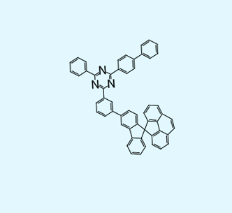 c1ccc(-c2ccc(-c3nc(-c4ccccc4)nc(-c4cccc(-c5ccc6c(c5)-c5ccccc5C65c6cccc7ccc8cccc5c8c67)c4)n3)cc2)cc1